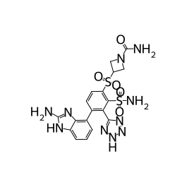 NC(=O)N1CC(S(=O)(=O)c2ccc(-c3cccc4[nH]c(N)nc34)c(-c3nn[nH]n3)c2S(N)(=O)=O)C1